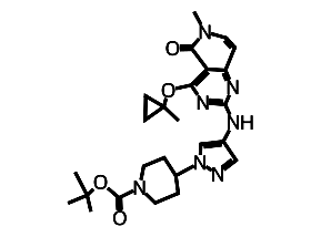 Cn1ccc2nc(Nc3cnn(C4CCN(C(=O)OC(C)(C)C)CC4)c3)nc(OC3(C)CC3)c2c1=O